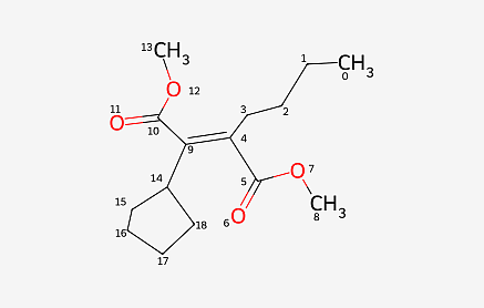 CCCCC(C(=O)OC)=C(C(=O)OC)C1CCCC1